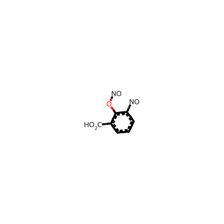 O=NOc1c(N=O)cccc1C(=O)O